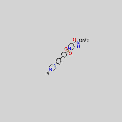 CONC(=O)C1=CCN(S(=O)(=O)c2ccc(-c3ccc(N4CCN(C5CC5)CC4)cc3)cc2)CC1